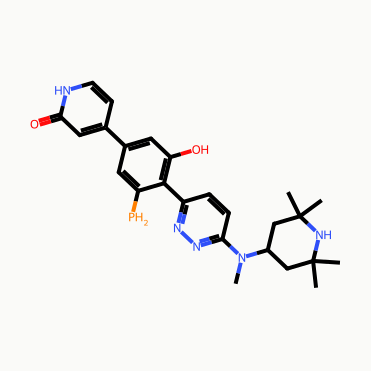 CN(c1ccc(-c2c(O)cc(-c3cc[nH]c(=O)c3)cc2P)nn1)C1CC(C)(C)NC(C)(C)C1